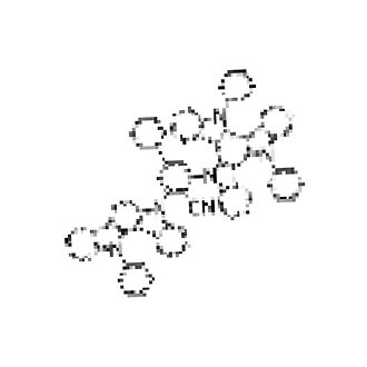 N#Cc1c(-n2c3ccccc3c3c2ccc2c4ccccc4n(-c4ccccc4)c23)cc(-c2ccccc2)cc1-n1c2ccccc2c2c3c(c4ccccc4n3-c3ccccc3)c3c(c4ccccc4n3-c3ccccc3)c21